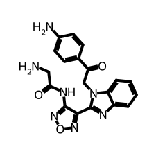 NCC(=O)Nc1nonc1-c1nc2ccccc2n1CC(=O)c1ccc(N)cc1